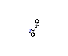 CC(C)(CCCc1cncc2ccccc12)c1ccccc1